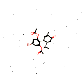 C=C(C)[C@@H]1CC(=O)C(C)=C[C@H]1c1c(OC(C)=O)cc(Br)cc1OC(C)=O